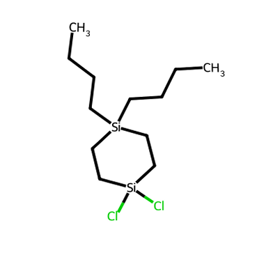 CCCC[Si]1(CCCC)CC[Si](Cl)(Cl)CC1